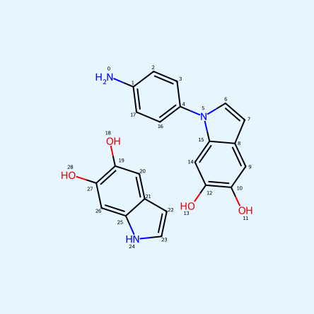 Nc1ccc(-n2ccc3cc(O)c(O)cc32)cc1.Oc1cc2cc[nH]c2cc1O